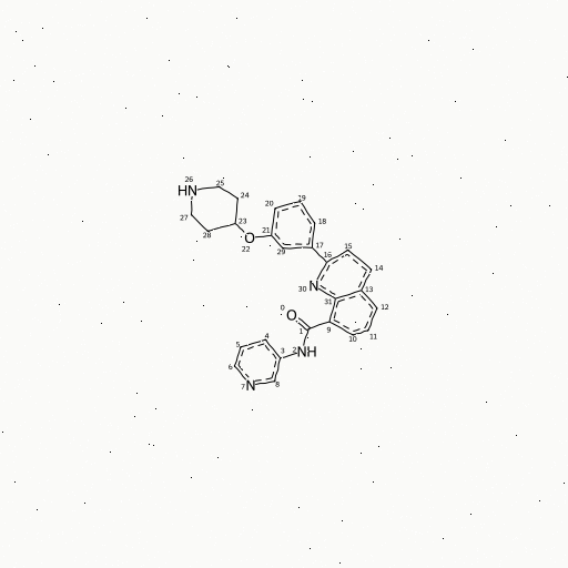 O=C(Nc1cccnc1)c1cccc2ccc(-c3cccc(OC4CCNCC4)c3)nc12